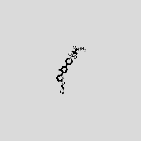 COCCOc1cccc(-c2ccc(C3CCN(S(=O)(=O)C(C)(C)C(N)=O)CC3)cc2C)n1